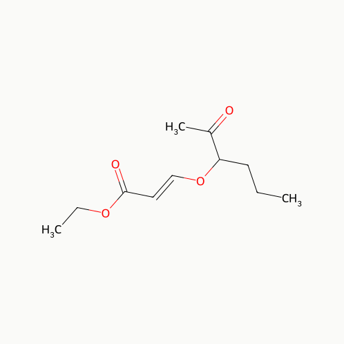 CCCC(OC=CC(=O)OCC)C(C)=O